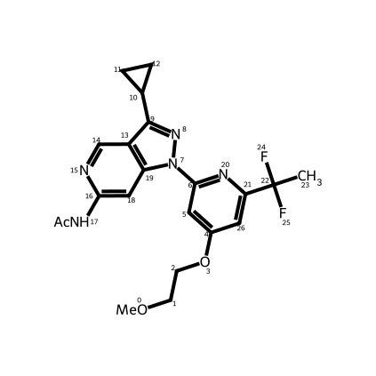 COCCOc1cc(-n2nc(C3CC3)c3cnc(NC(C)=O)cc32)nc(C(C)(F)F)c1